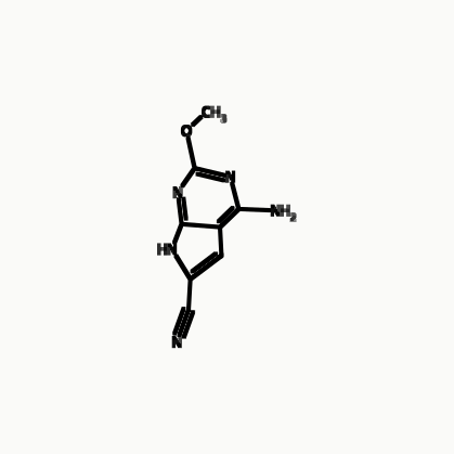 COc1nc(N)c2cc(C#N)[nH]c2n1